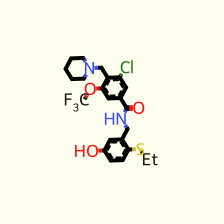 CCSc1ccc(O)cc1CNC(=O)c1cc(Cl)c(CN2CCCCC2)c(OC(F)(F)F)c1